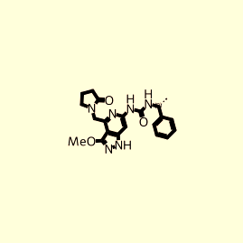 COc1n[nH]c2cc(NC(=O)N[C@H](C)c3ccccc3)nc(CN3CCCC3=O)c12